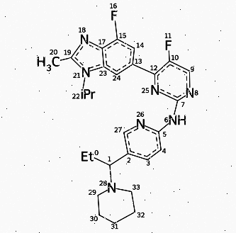 CCC(c1ccc(Nc2ncc(F)c(-c3cc(F)c4nc(C)n(C(C)C)c4c3)n2)nc1)N1CCCCC1